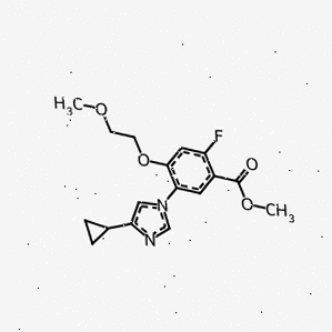 COCCOc1cc(F)c(C(=O)OC)cc1-n1cnc(C2CC2)c1